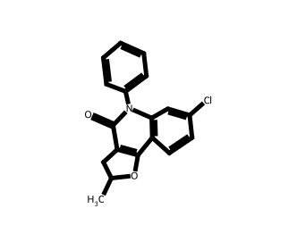 CC1Cc2c(c3ccc(Cl)cc3n(-c3ccccc3)c2=O)O1